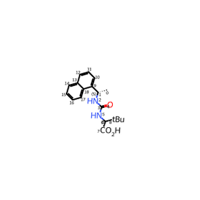 C[C@H](NC(=O)N[C@H](C(=O)O)C(C)(C)C)c1cccc2ccccc12